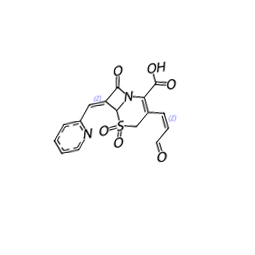 O=C/C=C\C1=C(C(=O)O)N2C(=O)/C(=C/c3ccccn3)C2S(=O)(=O)C1